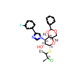 CCC(S[C@H]1O[C@@H]2COC(c3ccccc3)O[C@@H]2[C@H](n2cnc(-c3cccc(F)c3)c2)[C@H]1O)[C@H](C)Cl